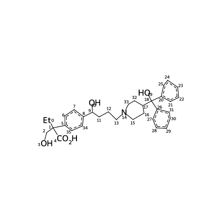 CCC(CO)(C(=O)O)c1ccc(C(O)CCCN2CCC(C(O)(c3ccccc3)c3ccccc3)CC2)cc1